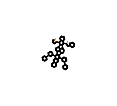 c1ccc(-c2cccc(-c3c4c(c(-c5cccc(-c6ccccc6)c5)c5cc6ccccc6cc35)-c3ccc5c6c(ccc-4c36)-c3c-5c(-c4cccs4)c4ccccc4c3-c3cc4ccccc4o3)c2)cc1